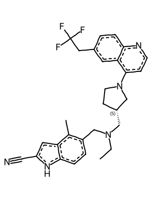 CCN(Cc1ccc2[nH]c(C#N)cc2c1C)C[C@@H]1CCN(c2ccnc3ccc(CC(F)(F)F)cc23)C1